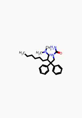 CCCCCCC(CN(C)C)C(CNC(N)=O)(c1ccccc1)c1ccccc1